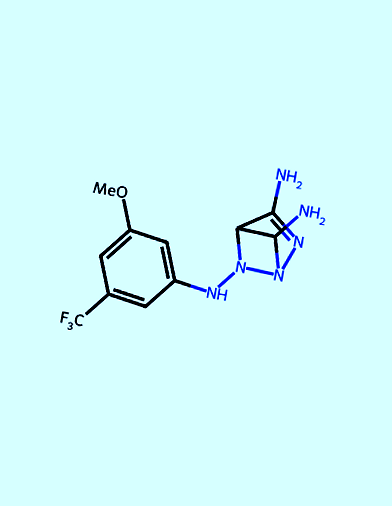 COc1cc(NN2C3C(N)=NN2C3N)cc(C(F)(F)F)c1